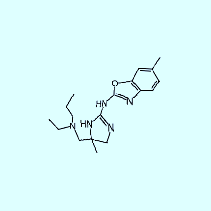 CCCN(CC)CC1(C)CN=C(Nc2nc3ccc(C)cc3o2)N1